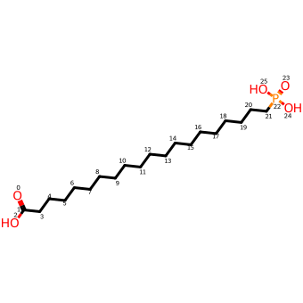 O=C(O)CCCCCCCCCCCCCCCCCCCP(=O)(O)O